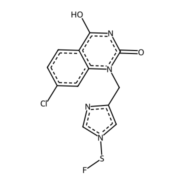 O=c1nc(O)c2ccc(Cl)cc2n1Cc1cn(SF)cn1